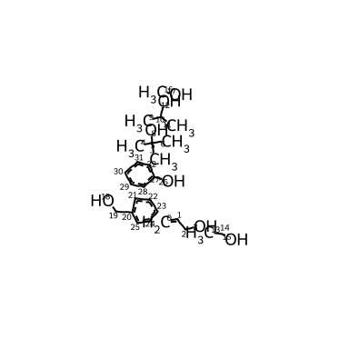 C=CCO.CC(C)(C)O.CC(C)O.CCO.CO.OCc1ccccc1.Oc1ccccc1